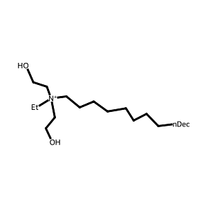 CCCCCCCCCCCCCCCCCC[N+](CC)(CCO)CCO